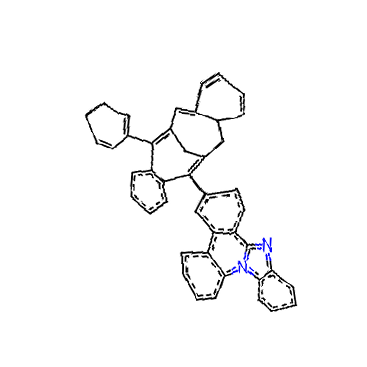 C1=CC2=CC3=C(C4=CCCC=C4)c4ccccc4C(c4ccc5c(c4)c4ccccc4n4c6ccccc6nc54)=C(C3)CC2C=C1